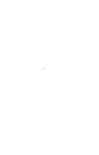 CCOC(=O)c1ccc(C)c([C@H]2CCN(C(=O)O)C2)c1